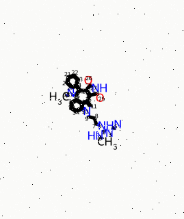 CN/C(=N/C#N)NCCCn1cc(C2=C(c3cn(C)c4ccccc34)C(=O)NC2=O)c2ccccc21